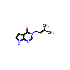 CC(C)=CCn1cnc2[nH]ccc2c1=O